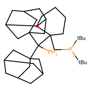 CC(C)(C)P(CC1(C(P)(C23CC4CC(CC(C4)C2)C3)C23CC4CC(CC(C4)C2)C3)CCCCC1)C(C)(C)C